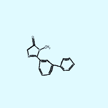 CN1C(=O)CN=C1c1cccc(-c2ccccc2)c1